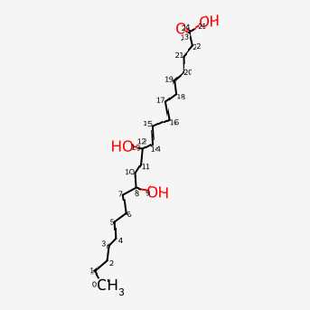 CCCCCCCCC(O)CCC(O)CCCCCCCCCC(=O)O